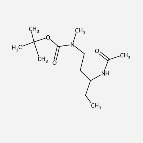 CCC(CCN(C)C(=O)OC(C)(C)C)NC(C)=O